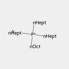 CCCCCCCC[P+](CCCCCCC)(CCCCCCC)CCCCCCC.[I-]